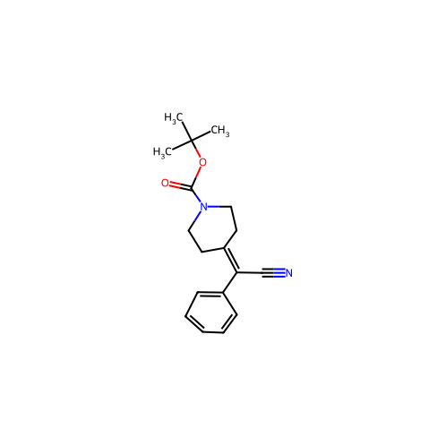 CC(C)(C)OC(=O)N1CCC(=C(C#N)c2ccccc2)CC1